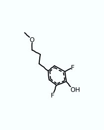 COCCCc1cc(F)c(O)c(F)c1